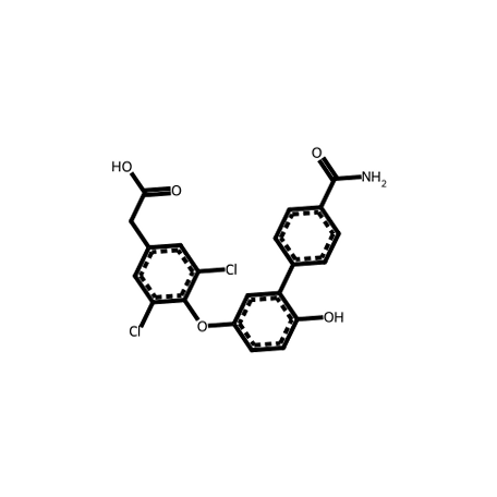 NC(=O)c1ccc(-c2cc(Oc3c(Cl)cc(CC(=O)O)cc3Cl)ccc2O)cc1